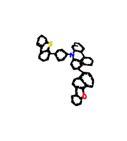 c1ccc(-c2ccccc2N(c2ccc(-c3cccc4c3ccc3c5ccccc5oc43)cc2)c2ccc(-c3cccc4c3sc3ccccc34)cc2)cc1